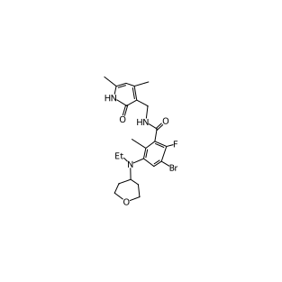 CCN(c1cc(Br)c(F)c(C(=O)NCc2c(C)cc(C)[nH]c2=O)c1C)C1CCOCC1